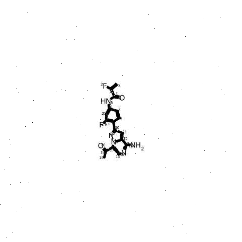 C=C(F)C(=O)Nc1ccc(-c2cc3c(N)ncc(C(C)=O)n3n2)c(F)c1